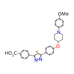 COc1ccc(N2CCC(Oc3ccc(-c4nnc(-c5ccc(C(=O)O)cc5)s4)cc3)CC2)cc1